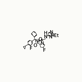 CCn1ncc(NCC(=O)N2CC(F)CC2C(=O)NC(c2ccccc2)c2ccc(C3CC3)c(F)c2)n1